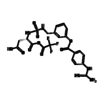 N=C(N)Nc1ccc(C(=O)Oc2cccc(CNS(=O)(=O)N[C@@H](CC(=O)O)C(=O)OC(=O)C(F)(F)F)c2)cc1